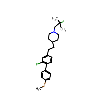 CSc1ccc(-c2ccc(CCC3CCN(CC(C)(C)F)CC3)cc2F)cc1